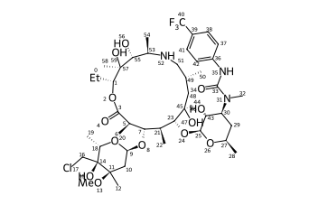 CC[C@H]1OC(=O)[C@H](C)[C@@H](O[C@H]2C[C@@](C)(OC)[C@](O)(CCl)[C@H](C)O2)[C@H](C)[C@@H](O[C@@H]2O[C@H](C)C[C@H](N(C)C(=O)Nc3ccc(C(F)(F)F)cc3)[C@H]2O)[C@](C)(O)C[C@@H](C)CN[C@H](C)[C@@H](O)[C@]1(C)O